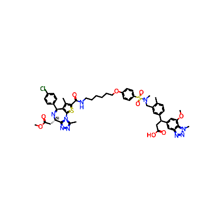 COC(=O)C[C@@H]1N=C(c2ccc(Cl)cc2)c2c(sc(C(=O)NCCCCCCOc3ccc(S(=O)(=O)N(C)Cc4cc(C(CC(=O)O)c5cc(OC)c6c(c5)nnn6C)ccc4C)cc3)c2C)-n2c(C)nnc21